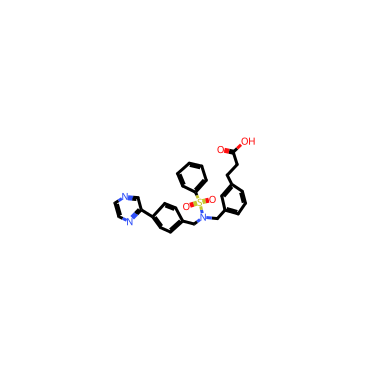 O=C(O)CCc1cccc(CN(Cc2ccc(-c3cnccn3)cc2)S(=O)(=O)c2ccccc2)c1